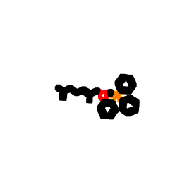 C=C(C)CC/C=C(\C)COC=P(c1ccccc1)(c1ccccc1)c1ccccc1